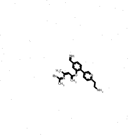 C=C(/C=C(C)\N=C(\C)C(C)CC)Oc1cc(C=N)ccc1-c1ccc(CCN)nc1